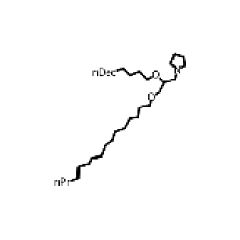 CCCC=CCC=CCCCCCCCCOCC(CN1CCCC1)OCCCCCCCCCCCCCC